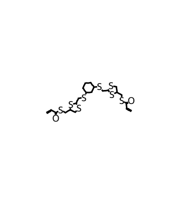 C=CC(=O)SCC1CSC(CSC2CCCC(SCC3SCC(CSC(=O)C=C)S3)C2)S1